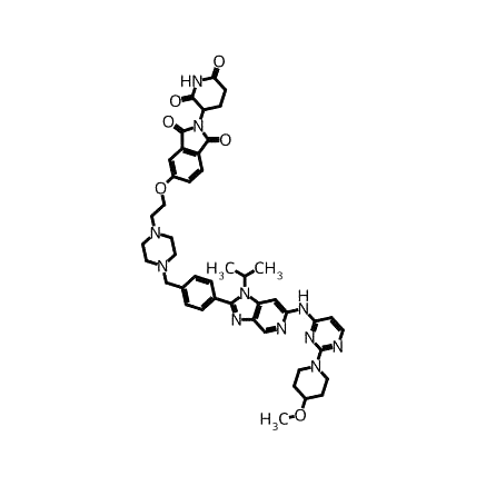 COC1CCN(c2nccc(Nc3cc4c(cn3)nc(-c3ccc(CN5CCN(CCOc6ccc7c(c6)C(=O)N(C6CCC(=O)NC6=O)C7=O)CC5)cc3)n4C(C)C)n2)CC1